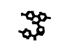 Cc1cnc(-c2ncc(F)cn2)c(C(=O)N2CC3CC(Nc4cnc(C)cn4)C2C3)c1